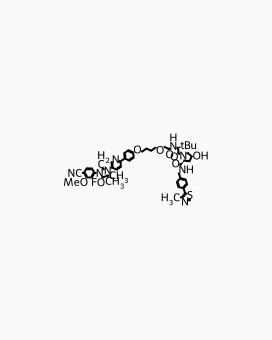 C=C1N(c2ccc(C#N)c(OC)c2F)C(=O)C(C)(C)N1c1ccc(-c2ccc(OCCCCOCC(=O)N[C@H](C(=O)N3C[C@H](O)C[C@H]3C(=O)NCc3ccc(-c4scnc4C)cc3)C(C)(C)C)cc2)nc1